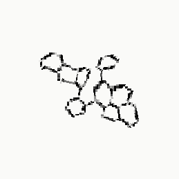 c1ccc(-c2cc(-c3ccccc3-c3cccc4c3oc3ccccc34)c3ccc4cccc5ccc2c3c54)cc1